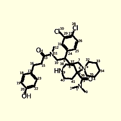 CN(C)C(=O)C1([N+]2(CCC(CN(C)C(=O)CCc3ccc(O)cc3)c3ccc(Cl)c(Cl)c3)CCCCC2)CCNCC1